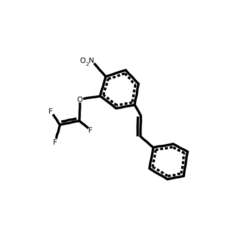 O=[N+]([O-])c1ccc(C=Cc2ccccc2)cc1OC(F)=C(F)F